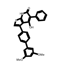 COc1cc(OC)cc(-c2ccc(-c3csc4[nH]c(=O)c(-c5ccccc5)c(O)c34)cc2)c1